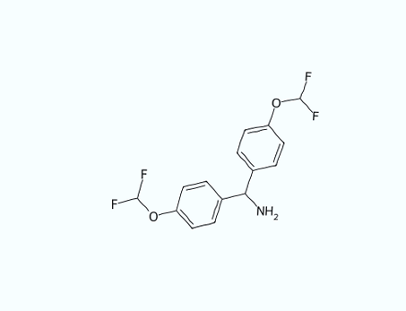 NC(c1ccc(OC(F)F)cc1)c1ccc(OC(F)F)cc1